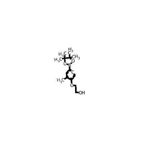 Cc1cc(B2OC(C)(C)C(C)(C)O2)ccc1OCCO